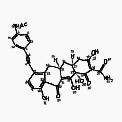 CC(=O)Nc1ccc(C#Cc2ccc(O)c3c2C[C@H]2C[C@H]4CC(O)=C(C(N)=O)C(=O)[C@@]4(O)C(O)=C2C3=O)cc1